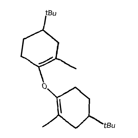 CC1=C(OC2=C(C)CC(C(C)(C)C)CC2)CCC(C(C)(C)C)C1